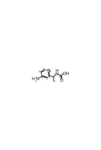 CC(NC(=O)O)c1cc(N)ccn1